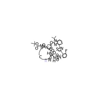 CC(C)n1c(O[C@@H]2C[C@H]3C(=O)N[C@]4(C(=O)NS(=O)(=O)N(C)C)C[C@H]4/C=C\CCCCC[C@H](NC(=O)OC(C)(C)C)C(=O)N3C2)nc2c(-c3nc(-c4ccccc4F)cs3)cccc21